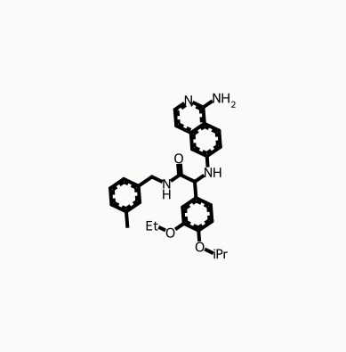 CCOc1cc(C(Nc2ccc3c(N)nccc3c2)C(=O)NCc2cccc(C)c2)ccc1OC(C)C